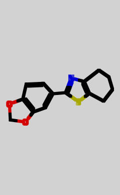 c1cc2c(cc1-c1nc3c(s1)CCCC3)OCO2